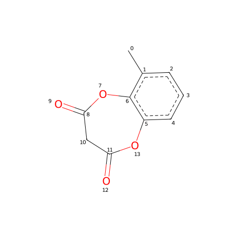 Cc1cccc2c1OC(=O)CC(=O)O2